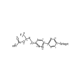 CCCCCCCc1ccc(-c2ccc(OCC(OC(=O)CCC)C(F)(F)F)nn2)cc1